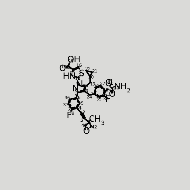 CC1(C#Cc2cc(-c3nn(C4NC(C(=O)O)=CS4)c(CC4CC4)c3Cc3ccc(S(N)(=O)=O)c(F)c3)ccc2F)COC1